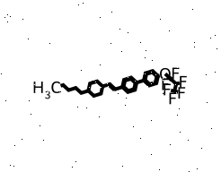 CCCCCC1CCC(/C=C/c2ccc(-c3ccc(OC(F)(F)C(F)C(F)(F)F)cc3)cc2)CC1